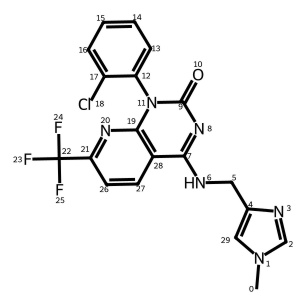 Cn1cnc(CNc2nc(=O)n(-c3ccccc3Cl)c3nc(C(F)(F)F)ccc23)c1